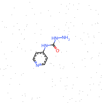 NNC(=O)Nc1ccncc1